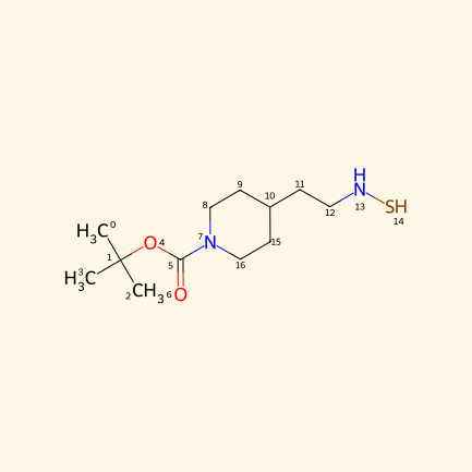 CC(C)(C)OC(=O)N1CCC(CCNS)CC1